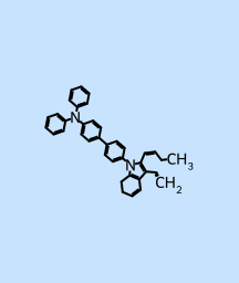 C=Cc1c2c(n(-c3ccc(-c4ccc(N(c5ccccc5)c5ccccc5)cc4)cc3)c1/C=C\CC)CCC=C2